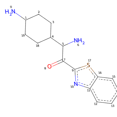 NC1CCC(C(N)C(=O)c2nc3ccccc3s2)CC1